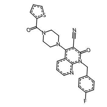 N#Cc1c(N2CCN(C(=O)c3cccs3)CC2)c2cccnc2n(Cc2ccc(F)cc2)c1=O